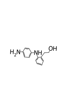 Nc1ccc(Nc2ccccc2CCO)cc1